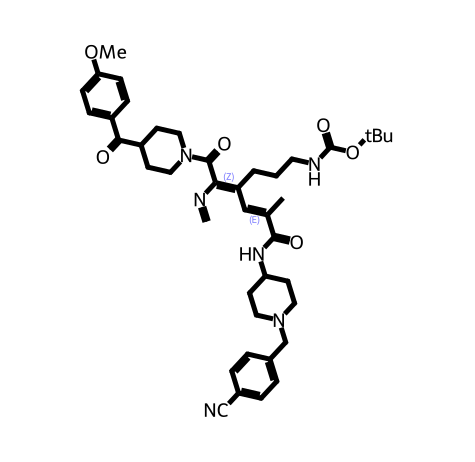 C=N/C(C(=O)N1CCC(C(=O)c2ccc(OC)cc2)CC1)=C(\C=C(/C)C(=O)NC1CCN(Cc2ccc(C#N)cc2)CC1)CCCNC(=O)OC(C)(C)C